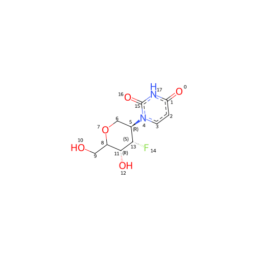 O=c1ccn([C@@H]2COC(CO)[C@@H](O)[C@H]2F)c(=O)[nH]1